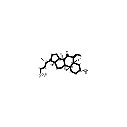 C/C=C1/C(=O)[C@H]2C3CCC([C@@H](C)CCC(=O)O)[C@@]3(C)CCC2[C@@]2(C)CC[C@@H](O)C[C@@H]12